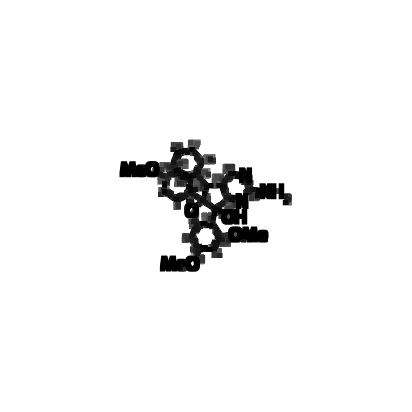 COc1ccc(C23Oc4cc(OC)cc(OC)c4C2(O)c2nc(N)ncc2C3c2ccccc2)cc1